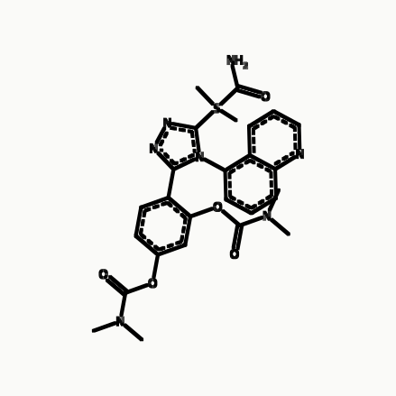 CN(C)C(=O)Oc1ccc(-c2nnc(S(C)(C)C(N)=O)n2-c2cccc3ncccc23)c(OC(=O)N(C)C)c1